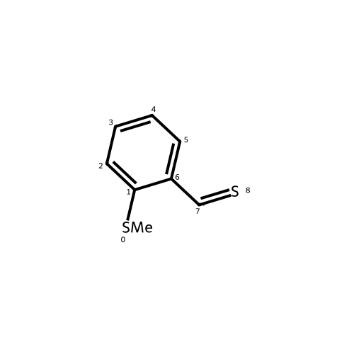 CSc1ccccc1[C]=S